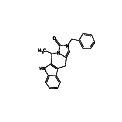 CC1c2[nH]c3ccccc3c2Cc2cn(Cc3ccccc3)c(=O)n21